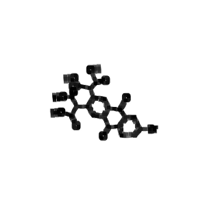 O=C1c2ccc(Br)cc2C(=O)c2cc(C(C(=O)O)C(=O)O)c(C(C(=O)O)C(=O)O)cc21